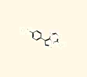 O=[N+]([O-])c1ccc(-c2cnn3c(O)ncnc23)cc1